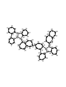 c1ccc2c(c1)B1N(c3ccccc3-2)c2ccccc2N1c1nccc2cc(-c3ccc4c(c3)-c3ccccc3N3B4N(c4ccc5ccccc5n4)c4ccccc43)ccc12